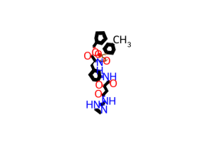 Cc1ccc(S(=O)(=O)N[C@@H](Cc2ccc3c(c2)NC(=O)C(CC(=O)Nc2ncc[nH]2)O3)C(=O)OCc2ccccc2)cc1